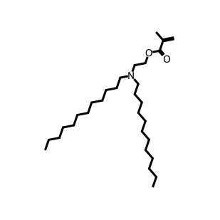 C=C(C)C(=O)OCCN(CCCCCCCCCCCC)CCCCCCCCCCCC